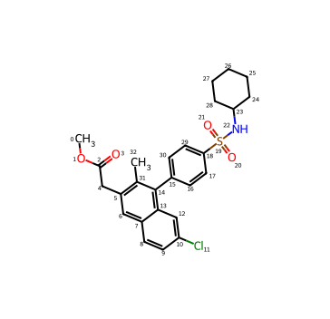 COC(=O)Cc1cc2ccc(Cl)cc2c(-c2ccc(S(=O)(=O)NC3CCCCC3)cc2)c1C